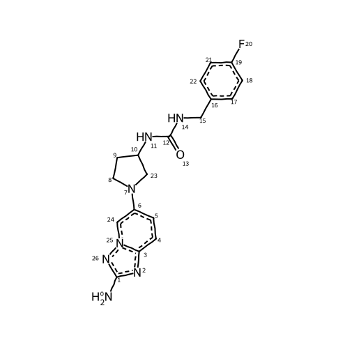 Nc1nc2ccc(N3CCC(NC(=O)NCc4ccc(F)cc4)C3)cn2n1